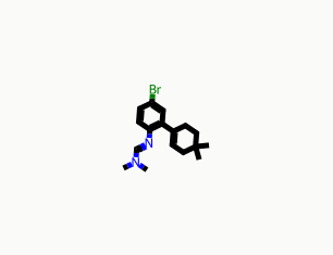 CN(C)C=Nc1ccc(Br)cc1C1=CCC(C)(C)CC1